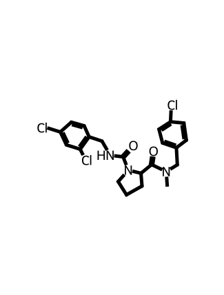 CN(Cc1ccc(Cl)cc1)C(=O)C1CCCN1C(=O)NCc1ccc(Cl)cc1Cl